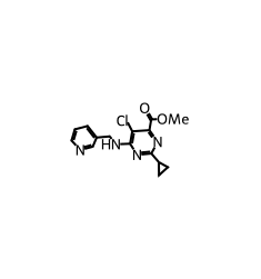 COC(=O)c1nc(C2CC2)nc(NCc2cccnc2)c1Cl